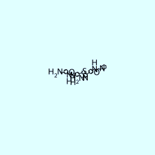 NCc1cccc(NC(=O)Nc2ccc(-c3csc4c(-c5ccc(NC(=O)CCN6CCCCC6)cc5)cnc(N)c34)cc2)c1